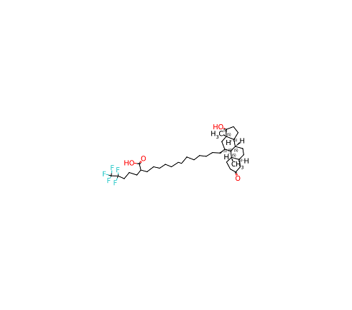 C[C@]12CCC(=O)C[C@@H]1CC[C@@H]1[C@@H]2[C@@H](CCCCCCCCCCCCCC(CCCC(F)(F)C(F)(F)F)C(=O)O)C[C@]2(C)[C@@H](O)CC[C@@H]12